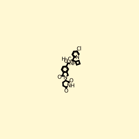 C[C@](NC(=O)c1ccc2c(c1)CN(C1CCC(=O)NC1=O)C2=O)(c1ccc(Cl)cn1)C1CCC1